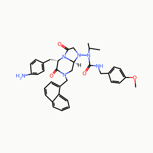 COc1ccc(CNC(=O)N(C(C)C)N2CC(=O)N3[C@@H](Cc4ccc(N)cc4)C(=O)N(Cc4cccc5ccccc45)C[C@@H]32)cc1